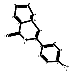 O=c1[nH]c(-c2ccc(O)cc2)cc2ccccc12